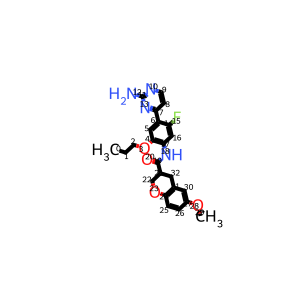 CCCOc1cc(-c2ccnc(N)n2)c(F)cc1NC(=O)C1COc2ccc(OC)cc2C1